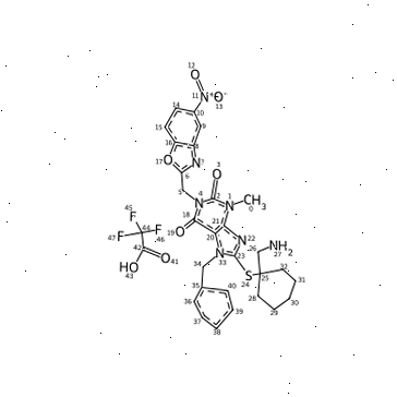 Cn1c(=O)n(Cc2nc3cc([N+](=O)[O-])ccc3o2)c(=O)c2c1nc(SC1(CN)CCCCC1)n2Cc1ccccc1.O=C(O)C(F)(F)F